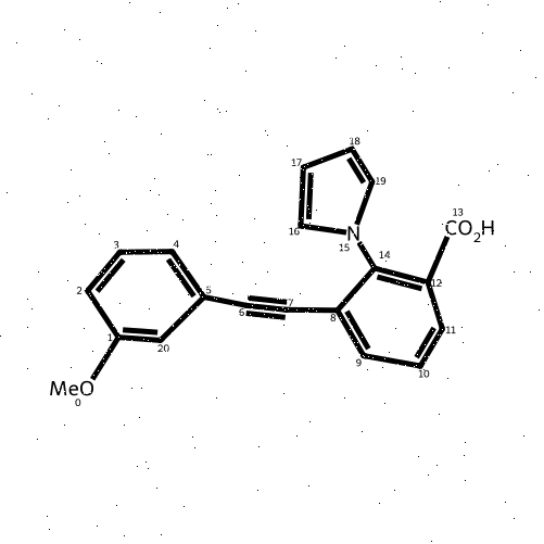 COc1cccc(C#Cc2cccc(C(=O)O)c2-n2cccc2)c1